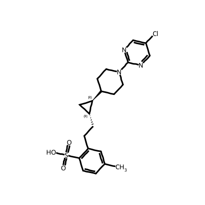 Cc1ccc(S(=O)(=O)O)c(CC[C@@H]2C[C@H]2C2CCN(c3ncc(Cl)cn3)CC2)c1